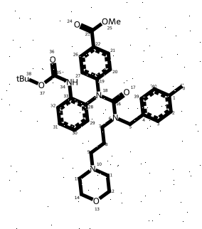 [CH]c1ccc(CN(CCCN2CCOCC2)C(=O)N(c2ccc(C(=O)OC)cc2)c2ccccc2NC(=O)OC(C)(C)C)cc1